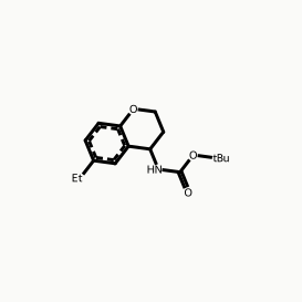 CCc1ccc2c(c1)C(NC(=O)OC(C)(C)C)CCO2